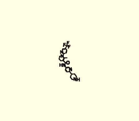 CC1=C(C(=O)Nc2ccc(C3CCNCC3)nc2)CCCN1c1ccc(C(F)(F)F)cn1